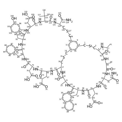 CC(C)NC1CSCc2cc3cc(c2)CSCC(NC(=O)C(C)NC(=O)C(Cc2cccc4ccccc24)NC(=O)C(CCC(=O)O)NC(=O)C(CC(N)=O)NC(=O)C(C)NC1=O)C(=O)NC(CCC(=O)O)C(=O)NC(CC(=O)O)C(=O)NC(Cc1ccccc1)C(=O)NC(Cc1ccc(O)cc1)C(=O)NC(CC(=O)O)C(=O)NC(C(C)(C)C)C(=O)NC(C(N)=O)CSC3